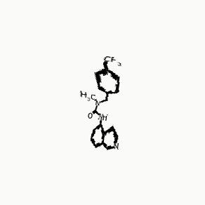 CN(Cc1ccc(C(F)(F)F)cc1)C(=O)Nc1cccc2cnccc12